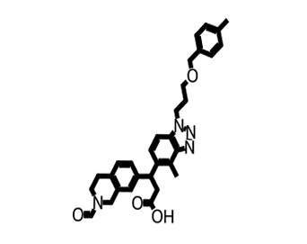 Cc1ccc(COCCCn2nnc3c(C)c(C(CC(=O)O)c4ccc5c(c4)CN(C=O)CC5)ccc32)cc1